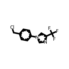 FC(F)(F)c1cn(-c2ccc(CCl)cc2)cn1